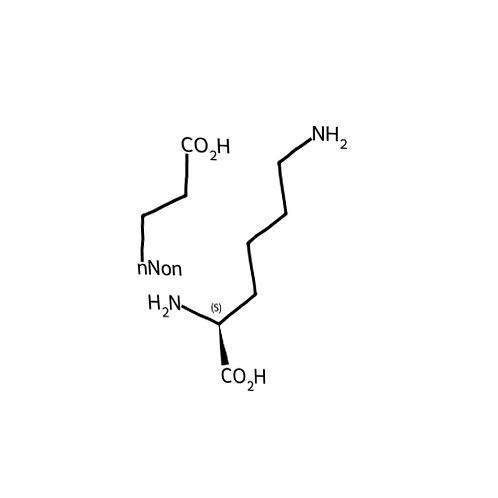 CCCCCCCCCCCC(=O)O.NCCCC[C@H](N)C(=O)O